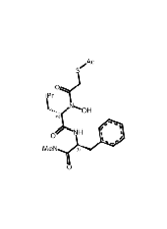 CNC(=O)[C@H](Cc1ccccc1)NC(=O)[C@H](CC(C)C)N(O)C(=O)CSC(C)=O